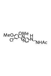 COc1cc(OC)c(-c2cn3ccc(NCCNC(C)=O)cc3n2)cc1Cl